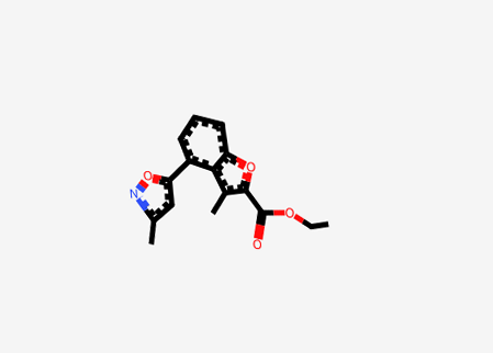 CCOC(=O)c1oc2cccc(-c3cc(C)no3)c2c1C